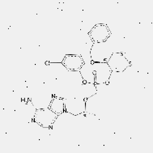 C[C@H](Cn1cnc2c(N)ncnc21)OCP(=O)(Oc1cccc(Cl)c1)OC1CSSC[C@@H]1OCc1ccccc1